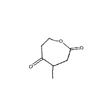 CC1CC(=O)OCCC1=O